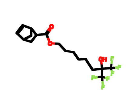 O=C(OCCCCCCC(O)(C(F)(F)F)C(F)(F)F)C1CC2C=CC1C2